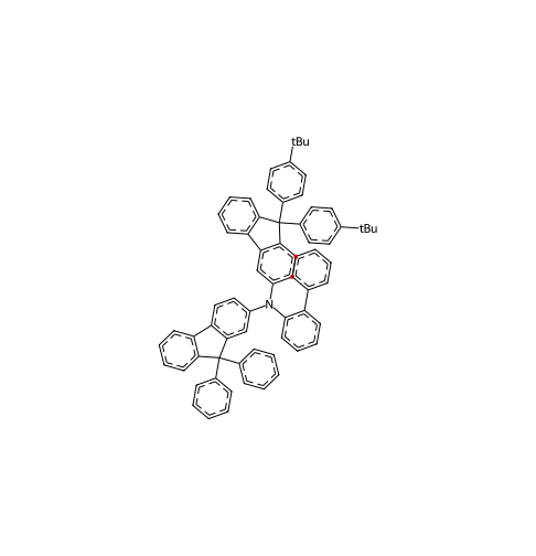 CC(C)(C)c1ccc(C2(c3ccc(C(C)(C)C)cc3)c3ccccc3-c3cc(N(c4ccc5c(c4)C(c4ccccc4)(c4ccccc4)c4ccccc4-5)c4ccccc4-c4ccccc4)ccc32)cc1